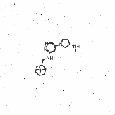 CN[C@H]1CCN(c2cnnc(NCC3CCC4CC3C4(C)C)c2)C1